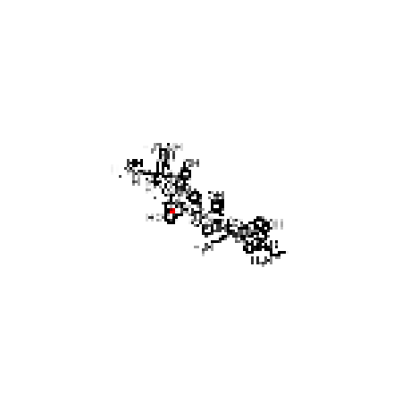 CC[C@H](C)[C@H](N)C(=O)N[C@@H](CC(C)C)C(=O)N1CCC[C@H]1C(=O)N[C@@H](Cc1ccc(O)cc1)C(=O)N[C@@H](CCCCN)C(=O)N[C@@H](Cc1ccc(O)cc1)C(=O)N1CCC[C@H]1C(=O)N[C@@H](Cc1ccc(O)cc1)C(=O)N[C@@H](Cc1ccc(O)cc1)C(=O)N1CCC[C@H]1C(=O)N[C@@H](Cc1ccc(O)cc1)C(=O)N[C@@H](CCCNC(=N)N)C(=O)N[C@@H](CCCNC(=N)N)C(N)=O